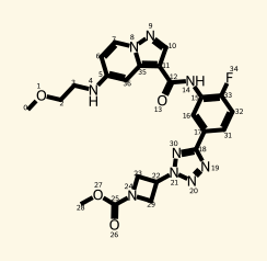 COCCNc1ccn2ncc(C(=O)Nc3cc(-c4nnn(C5CN(C(=O)OC)C5)n4)ccc3F)c2c1